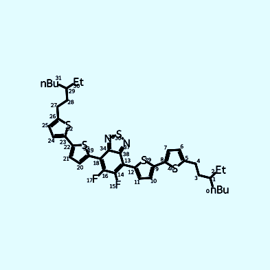 CCCCC(CC)CCc1ccc(-c2ccc(-c3c(F)c(F)c(-c4ccc(-c5ccc(CCC(CC)CCCC)s5)s4)c4nsnc34)s2)s1